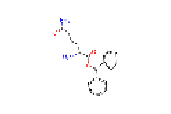 NC(=O)CCCC(N)C(=O)OB(c1ccccc1)c1ccccc1